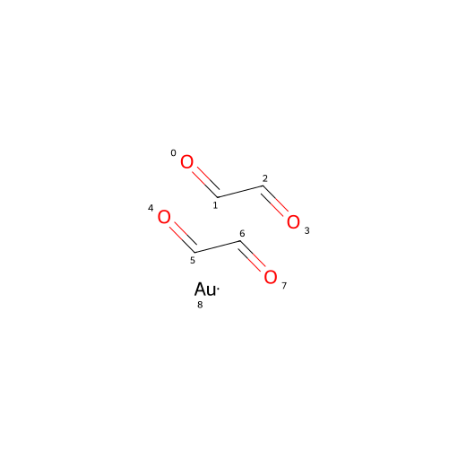 O=CC=O.O=CC=O.[Au]